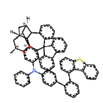 C[C@H]1C[C@@H]2C[C@@H]3C[C@H](C1)C21c2ccc(N(c4ccccc4)c4ccc(-c5ccccc5-c5cccc6sc7ccccc7c56)cc4)cc2C2(c4ccccc4-c4ccccc42)c2ccccc2C31